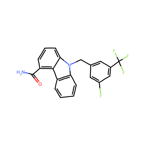 NC(=O)c1cccc2c1c1[c]cccc1n2Cc1cc(F)cc(C(F)(F)F)c1